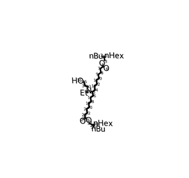 CCCCCCC(CCCC)COC(=O)CCCCCCCCC(CCCCCCCCC(=O)OCC(CCCC)CCCCCC)N(CC)CCCO